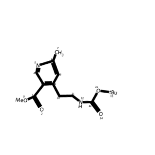 COC(=O)c1cnc(C)cc1CCNC(=O)OC(C)(C)C